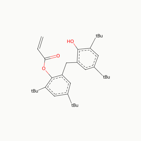 C=CC(=O)Oc1c(Cc2cc(C(C)(C)C)cc(C(C)(C)C)c2O)cc(C(C)(C)C)cc1C(C)(C)C